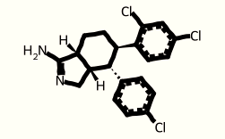 NC1=NC[C@H]2[C@@H](c3ccc(Cl)cc3)[C@H](c3ccc(Cl)cc3Cl)CC[C@@H]12